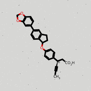 CC#C[C@H](CC(=O)O)c1ccc(OC2CCc3cc(-c4ccc5c(c4)OCO5)ccc32)cc1